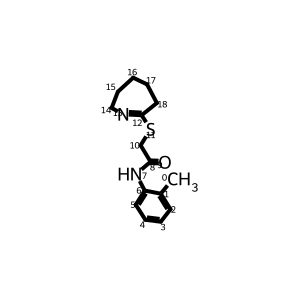 Cc1ccccc1NC(=O)CSC1=NCCCCC1